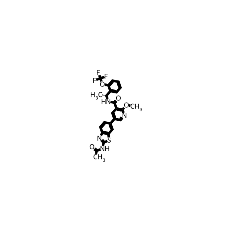 COc1ncc(-c2ccc3nc(NC(C)=O)sc3c2)cc1C(=O)N[C@H](C)c1ccccc1OC(F)(F)F